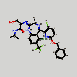 CC(C)NC(=O)C(CO)/N=C1\Nc2ccc(C(F)(F)F)c(Cl)c2C(c2nc(OCc3ccccc3)ccc2F)=N[C@H]1C